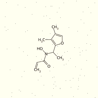 C=CC(=O)N(O)C(C)c1occ(C)c1C